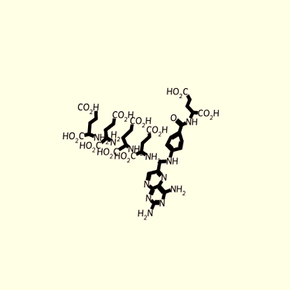 NC(CCC(=O)O)C(=O)O.NC(CCC(=O)O)C(=O)O.NC(CCC(=O)O)C(=O)O.NC(CCC(=O)O)C(=O)O.Nc1nc(N)c2nc(CNc3ccc(C(=O)NC(CCC(=O)O)C(=O)O)cc3)cnc2n1